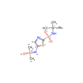 CC(C)(C)[Si](C)(C)NS(=O)(=O)c1ncc(N=S(C)(C)=O)s1